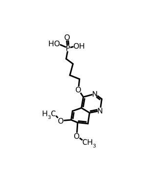 COc1cc2ncnc(OCCCCP(=O)(O)O)c2cc1OC